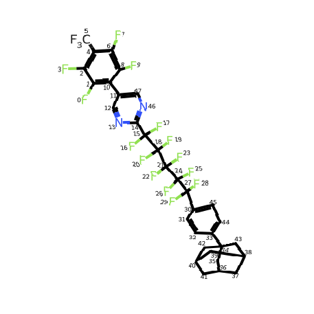 Fc1c(F)c(C(F)(F)F)c(F)c(F)c1-c1cnc(C(F)(F)C(F)(F)C(F)(F)C(F)(F)C(F)(F)c2ccc(C34CC5CC(CC(C5)C3)C4)cc2)nc1